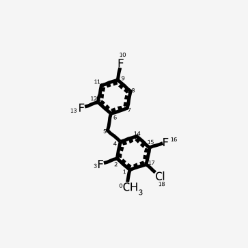 Cc1c(F)c(Cc2ccc(F)cc2F)cc(F)c1Cl